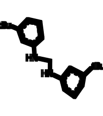 CC(C)(C)c1cccc(NCNc2cccc(C(C)(C)C)c2)c1